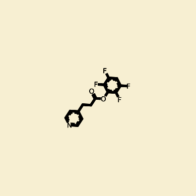 O=C(CCc1ccncc1)Oc1c(F)c(F)cc(F)c1F